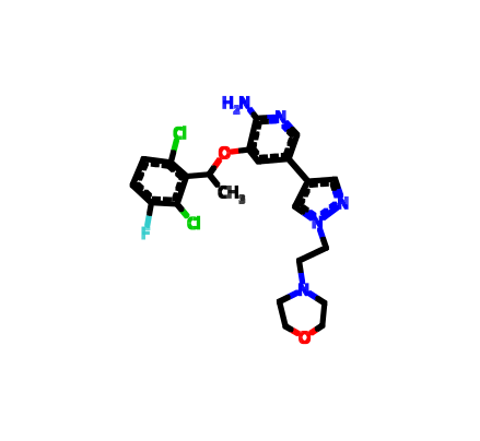 CC(Oc1cc(-c2cnn(CCN3CCOCC3)c2)cnc1N)c1c(Cl)ccc(F)c1Cl